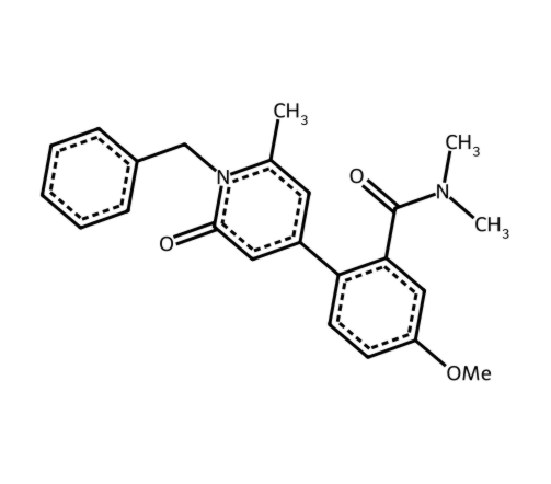 COc1ccc(-c2cc(C)n(Cc3ccccc3)c(=O)c2)c(C(=O)N(C)C)c1